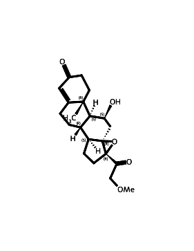 COCC(=O)[C@@]12CC[C@H]3[C@@H]4CCC5=CC(=O)CC[C@]5(C)[C@H]4[C@@H](O)C[C@@]31O2